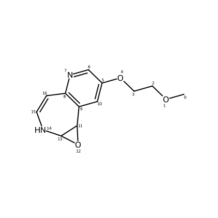 COCCOc1cnc2c(c1)C1OC1NC=C2